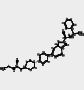 CCOC(=O)C[C@H]1CC[C@H](c2ccc(-c3ccc4nc(C(=O)NC(C)c5ccccc5)cn4c3)cc2)CC1